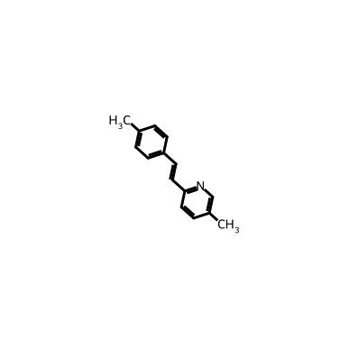 Cc1ccc(C=Cc2ccc(C)cn2)cc1